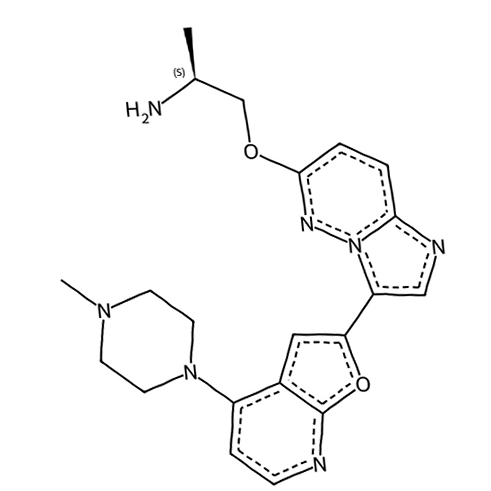 C[C@H](N)COc1ccc2ncc(-c3cc4c(N5CCN(C)CC5)ccnc4o3)n2n1